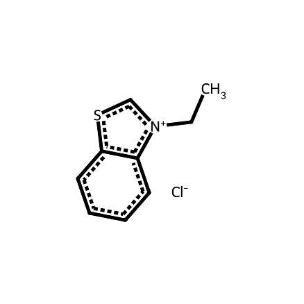 CC[n+]1csc2ccccc21.[Cl-]